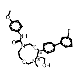 COc1ccc(NC(=O)N2CCCCN(C)[C@H](CO)[C@H](c3ccc(-c4cccc(F)c4)cc3)CC2)cc1